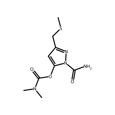 CSCc1cc(OC(=O)N(C)C)n(C(N)=O)n1